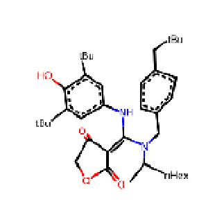 CCCCCCC(C)N(Cc1ccc(CC(C)(C)C)cc1)C(Nc1cc(C(C)(C)C)c(O)c(C(C)(C)C)c1)=C1C(=O)COC1=O